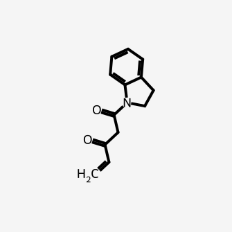 C=CC(=O)CC(=O)N1CCc2ccccc21